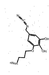 CCCCCCCCCCCCOc1cc(CN=[N+]=[N-])cc(O)c1O